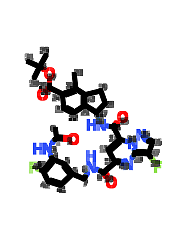 CC(=O)Nc1cc(CNC(=O)c2cc(C(=O)N[C@H]3CCc4c3ccc(C(=O)OC(C)(C)C)c4C)n3ncc(F)c3n2)ccc1F